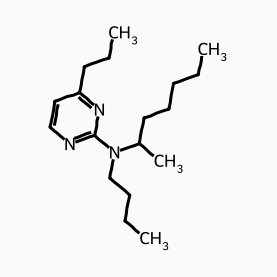 CCCCCC(C)N(CCCC)c1nccc(CCC)n1